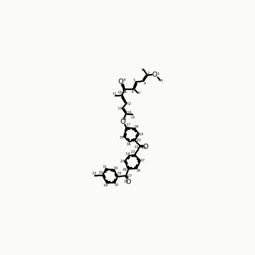 CO/C(C)=C/C=C(\C)C(=O)/C(C)=C/C=C(\C)Oc1ccc(C(=O)c2ccc(C(=O)c3ccc(C)cc3)cc2)cc1